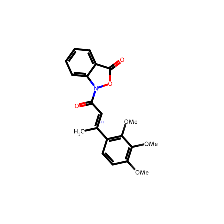 COc1ccc(/C(C)=C/C(=O)n2oc(=O)c3ccccc32)c(OC)c1OC